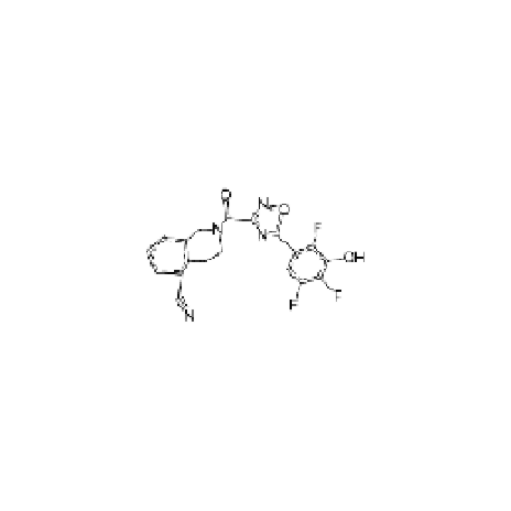 N#Cc1cccc2c1CCN(C(=O)c1noc(-c3cc(F)c(F)c(O)c3F)n1)C2